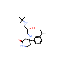 CC(C)c1cccc(C2(NC[C@@H](O)CNC(C)(C)C)CCNC(=O)C2)c1